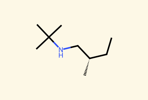 CC[C@H](C)CNC(C)(C)C